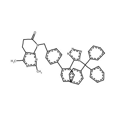 Cc1nc(C)c2c(n1)N(Cc1ccc(-c3ccccc3-c3nnnn3C(c3ccccc3)(c3ccccc3)c3ccccc3)cc1)C(=O)CC2